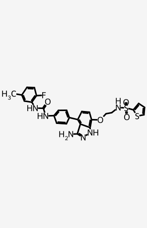 Cc1ccc(F)c(NC(=O)Nc2ccc(-c3ccc(OCCNS(=O)(=O)c4cccs4)c4[nH]nc(N)c34)cc2)c1